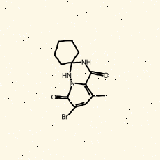 Cc1cc(Br)c(=O)n2c1C(=O)NC1(CCCCC1)N2